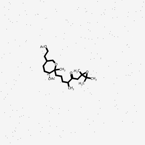 CC(=O)OCCC1CC[C@@H](OC(C)=O)C(C)(CCCC(C)C(=O)CC2(C)OC2(C)C)OC1